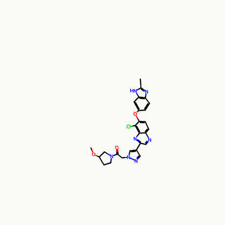 COC1CCN(C(=O)Cn2cc(-c3cnc4ccc(Oc5ccc6nc(C)[nH]c6c5)c(Cl)c4n3)cn2)C1